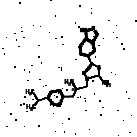 CC(C)c1ccc(C[C@@H](N)CN2N=C(c3ccc4[nH]ncc4c3)SC2N)cc1